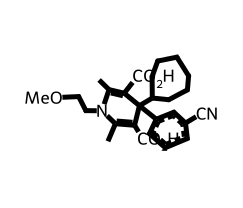 COCCN1C(C)=C(C(=O)O)C(c2cccc(C#N)c2)(C2CCCCCC2)C(C(=O)O)=C1C